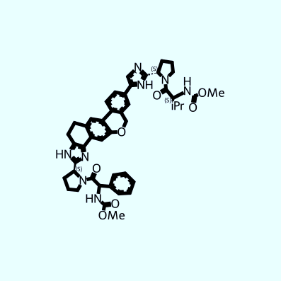 COC(=O)NC(C(=O)N1CCC[C@H]1c1nc2c([nH]1)CCc1cc3c(cc1-2)OCc1cc(-c2cnc([C@@H]4CCCN4C(=O)[C@@H](NC(=O)OC)C(C)C)[nH]2)ccc1-3)c1ccccc1